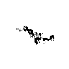 Cn1cc(-c2ccc(CNc3ccnc(NC(=O)CCc4ccco4)c3[N+](=O)[O-])cc2)cn1